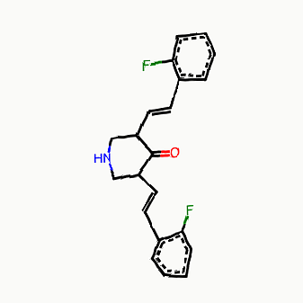 O=C1C(C=Cc2ccccc2F)CNCC1C=Cc1ccccc1F